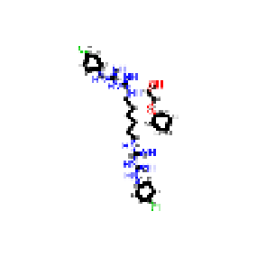 N=C(NCCCCCCNC(=N)NC(=N)Nc1ccc(Cl)cc1)NC(=N)Nc1ccc(Cl)cc1.OCCOc1ccccc1